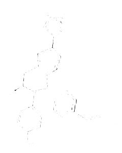 COc1ccc(N2[C@@H](c3ccc(/C=C/C(=O)O)cc3)c3ccc(-c4cnn(C)c4)cc3C[C@@H]2C)cc1